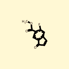 COC(=O)c1cc2c(cc1F)C=CC2=O